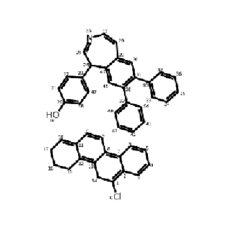 ClC1=c2ccccc2=c2ccc3c(c2C1)CCCC=3.Oc1ccc(C2C=NC=Cc3cc(-c4ccccc4)c(-c4ccccc4)cc32)cc1